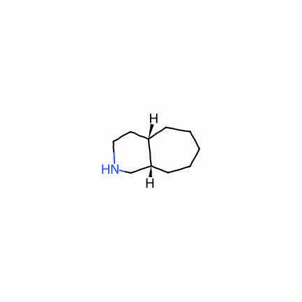 C1CC[C@H]2CCNC[C@H]2CC1